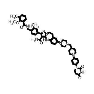 COc1c(C)cccc1C(=O)NCc1ccc(-c2nn3c(c2C(N)=O)Nc2ccc(N4CCN(CC5CCN(c6ccc(N7CCC(=O)NC7=O)cc6)CC5)CC4)cc2CC3)cc1C